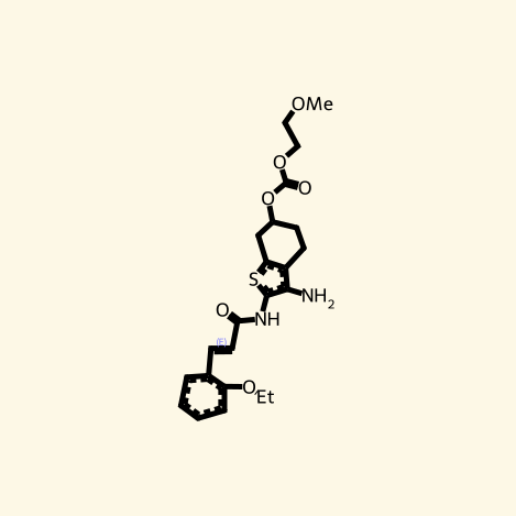 CCOc1ccccc1/C=C/C(=O)Nc1sc2c(c1N)CCC(OC(=O)OCCOC)C2